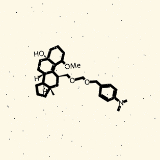 COC1CCC[C@]2(O)CC[C@@H]3C(=C12)[C@@H](COCOCc1ccc(N(C)C)cc1)C[C@]1(C)CCC[C@@H]31